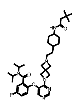 CC(C)N(C(=O)c1cc(F)ccc1Oc1cncnc1N1CC2(CN(CCC3CCC(NC(=O)CC(C)(C)C)CC3)C2)C1)C(C)C